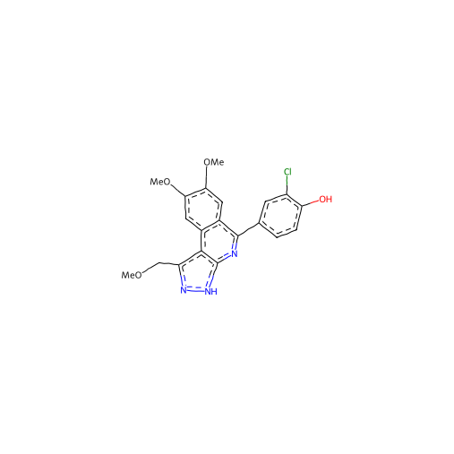 COCc1n[nH]c2nc(-c3ccc(O)c(Cl)c3)c3cc(OC)c(OC)cc3c12